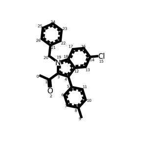 CC(=O)c1c(-c2ccc(C)cc2)c2cc(Cl)ccc2n1Cc1ccccc1